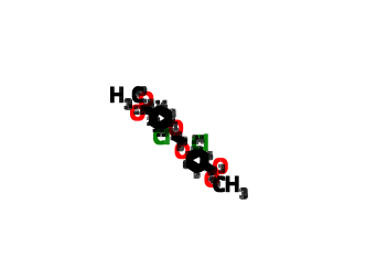 COC(=O)c1ccc(OCCOc2ccc(C(=O)OC)cc2Cl)c(Cl)c1